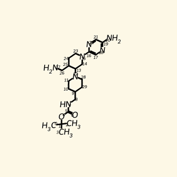 CC(C)(C)OC(=O)NCC1CCN(C2CN(c3cnc(N)cn3)CCC2CN)CC1